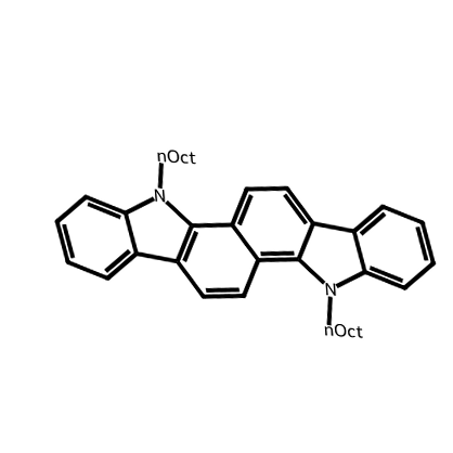 CCCCCCCCn1c2ccccc2c2ccc3c(ccc4c5ccccc5n(CCCCCCCC)c43)c21